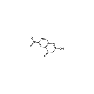 O=C1CC(O)=Nc2ccc([N+](=O)[O-])cc21